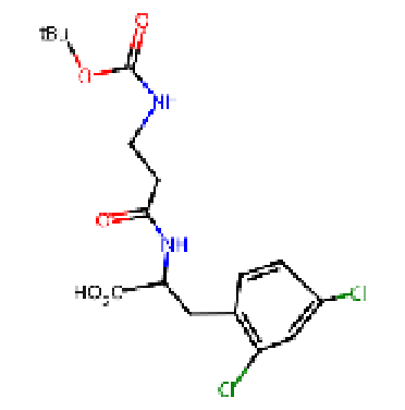 CC(C)(C)OC(=O)NCCC(=O)NC(Cc1ccc(Cl)cc1Cl)C(=O)O